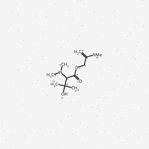 C=C(COC(=O)C(N(C)C)C(C)(C)O)NC